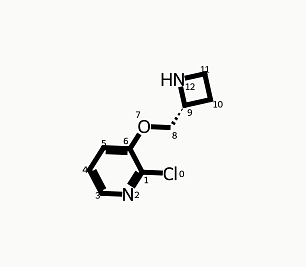 Clc1ncccc1OC[C@H]1CCN1